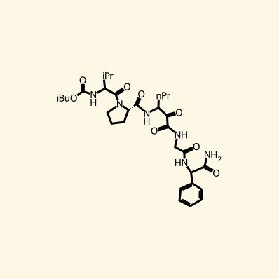 CCCC(NC(=O)[C@@H]1CCCN1C(=O)C(NC(=O)OCC(C)C)C(C)C)C(=O)C(=O)NCC(=O)NC(C(N)=O)c1ccccc1